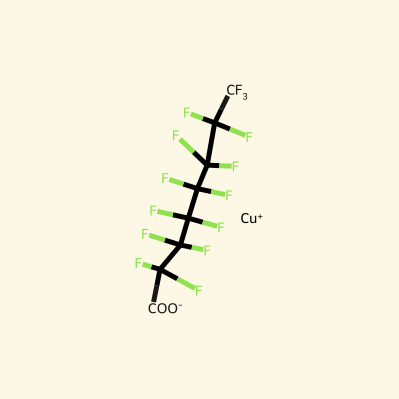 O=C([O-])C(F)(F)C(F)(F)C(F)(F)C(F)(F)C(F)(F)C(F)(F)C(F)(F)F.[Cu+]